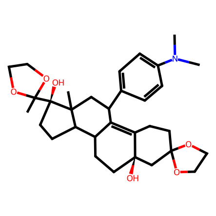 CN(C)c1ccc(C2CC3(C)C(CC[C@]3(O)C3(C)OCCO3)C3CC[C@@]4(O)CC5(CCC4=C23)OCCO5)cc1